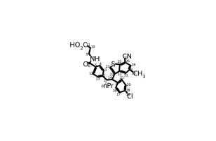 CCC[C@H](c1ccc(C(=O)NCCC(=O)O)cc1)C(c1ccc(Cl)cc1)c1csc2c(C#N)cc(C)cc12